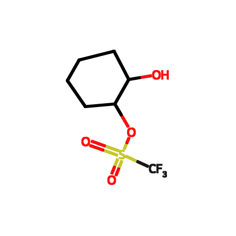 O=S(=O)(OC1CCCCC1O)C(F)(F)F